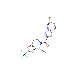 CC1c2nc(C(F)(F)F)oc2CCN1C(=O)c1cc2ccc(Br)cn2n1